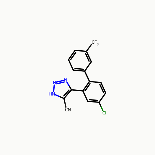 N#Cc1[nH]nnc1-c1cc(Cl)ccc1-c1cccc(C(F)(F)F)c1